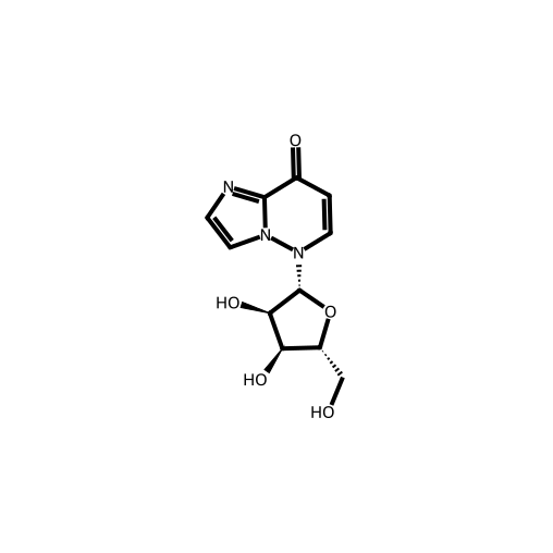 O=c1ccn([C@@H]2O[C@H](CO)[C@@H](O)[C@H]2O)n2ccnc12